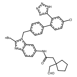 CCCCc1nc2ccc(NC(=O)CC3(CC=O)CCCC3)cc2n1Cc1ccc(-c2ccc(Cl)cc2-c2nnn[nH]2)cc1